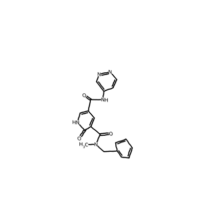 CN(Cc1ccccc1)C(=O)c1cc(C(=O)Nc2ccnnc2)c[nH]c1=O